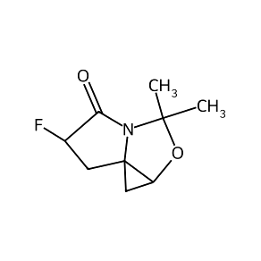 CC1(C)OC2CC23CC(F)C(=O)N13